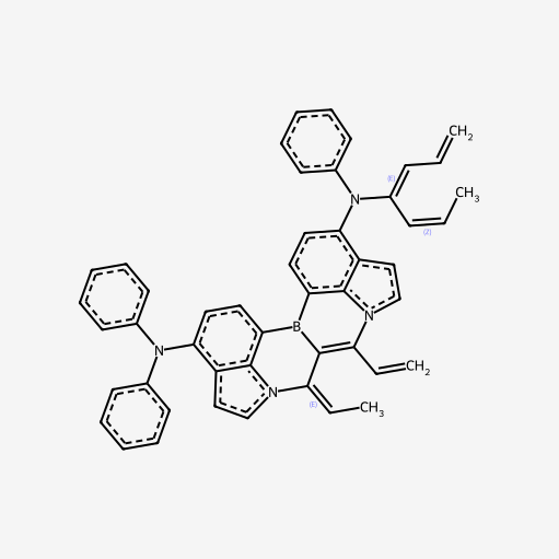 C=C/C=C(\C=C/C)N(c1ccccc1)c1ccc2c3c1ccn3C(C=C)=C1B2c2ccc(N(c3ccccc3)c3ccccc3)c3ccn(c23)/C1=C/C